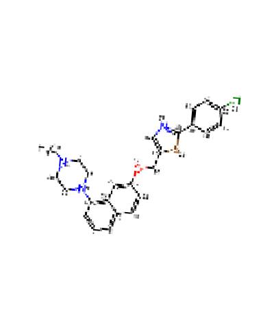 CN1CCN(c2cccc3ccc(OCc4cnc(-c5ccc(Cl)cc5)s4)cc23)CC1